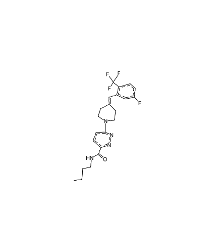 CCCCNC(=O)c1ccc(N2CCC(=Cc3cc(F)ccc3C(F)(F)F)CC2)nn1